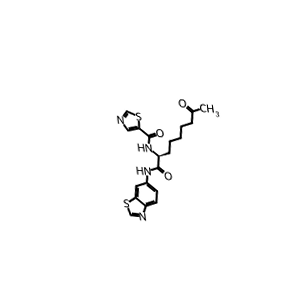 CC(=O)CCCCC[C@H](NC(=O)c1cncs1)C(=O)Nc1ccc2ncsc2c1